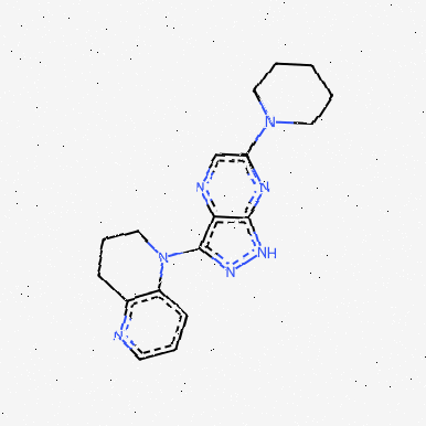 c1cnc2c(c1)N(c1n[nH]c3nc(N4CCCCC4)cnc13)CCC2